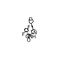 O=C1N[C@H](c2cncc(C#CC3CCOCC3)c2)[C@@H](c2cc(F)ccc2F)O1